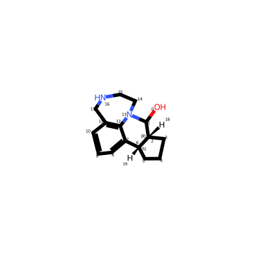 OC1[C@@H]2CCC[C@@H]2c2cccc3c2N1CCNC3